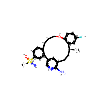 C[C@H]1CCc2cc(cnc2N)-c2cc(S(C)(=N)=O)ccc2CCCOc2ccc(F)cc21